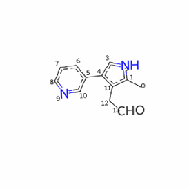 Cc1[nH]cc(-c2cccnc2)c1CC=O